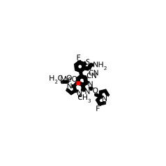 C=CC(=O)N1CCC(N(C)c2nc(OCC34CCCN3CC(F)C4)nc3c(C#N)c(-c4ccc(F)c5sc(N)c(C#N)c45)ccc23)C1COC